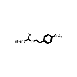 CCCCCC(Br)OCCc1ccc([N+](=O)[O-])cc1